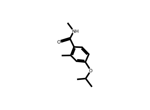 CNC(=O)c1ccc(OC(C)C)cc1C